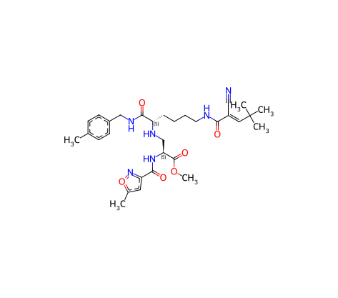 COC(=O)[C@H](CN[C@@H](CCCCNC(=O)C(C#N)=CC(C)(C)C)C(=O)NCc1ccc(C)cc1)NC(=O)c1cc(C)on1